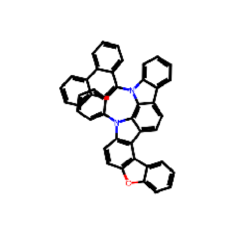 c1ccc(-n2c3ccc4oc5ccccc5c4c3c3ccc4c5ccccc5n(-c5cc6ccccc6c6ccccc56)c4c32)cc1